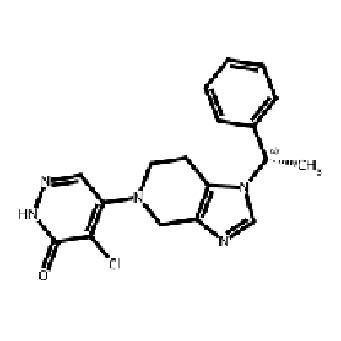 C[C@@H](c1ccccc1)n1cnc2c1CCN(c1cn[nH]c(=O)c1Cl)C2